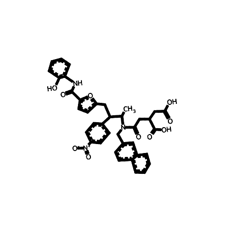 CC(C(Cc1ccc(C(=O)Nc2ccccc2O)o1)c1ccc([N+](=O)[O-])cc1)N(Cc1ccc2ccccc2c1)C(=O)CC(CC(=O)O)C(=O)O